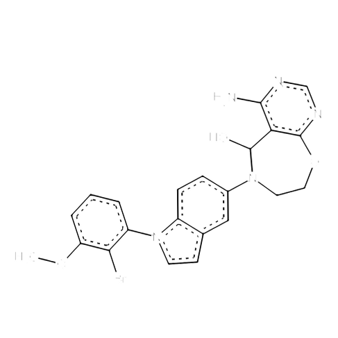 COc1cccc(-n2ccc3cc(N4CCOc5ncnc(N)c5C4O)ccc32)c1Br